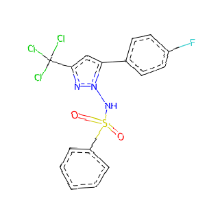 O=S(=O)(Nn1nc(C(Cl)(Cl)Cl)cc1-c1ccc(F)cc1)c1ccccc1